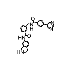 O=C(NCc1cccc(C(=O)Nc2ccc3c(c2)CNCC3)c1)c1ccc(-c2cncnc2)cc1